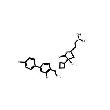 CN(c1ccc(-c2ccc(Cl)cc2)cc1F)[C@H]1C[C@H]([C@@](N)(CCCCB(O)O)C(=O)O)C1